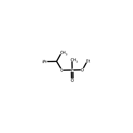 CCOP(C)(=O)OC(C)C(C)C